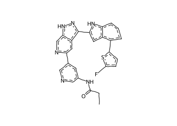 CCC(=O)Nc1cncc(-c2cc3c(-c4cc5c(-c6ccc(F)s6)cccc5[nH]4)n[nH]c3cn2)c1